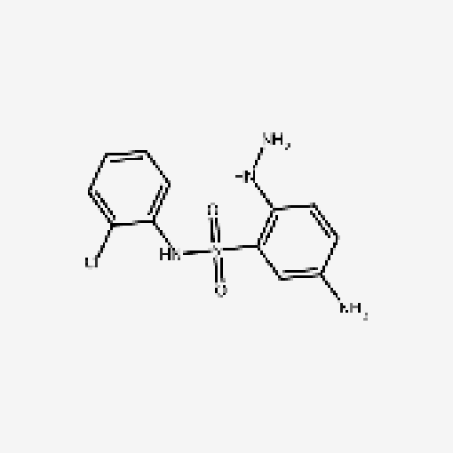 NNc1ccc(N)cc1S(=O)(=O)Nc1ccccc1Cl